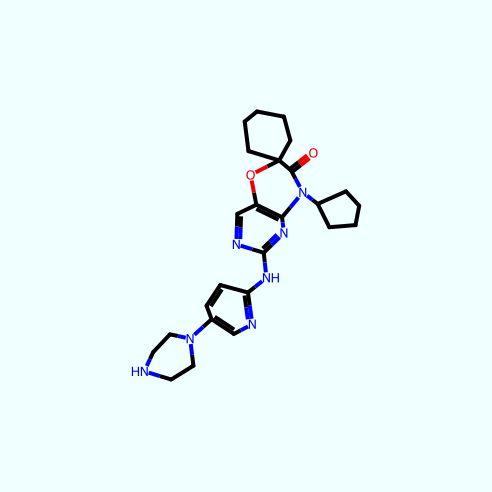 O=C1N(C2CCCC2)c2nc(Nc3ccc(N4CCNCC4)cn3)ncc2OC12CCCCC2